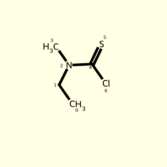 CCN(C)C(=S)Cl